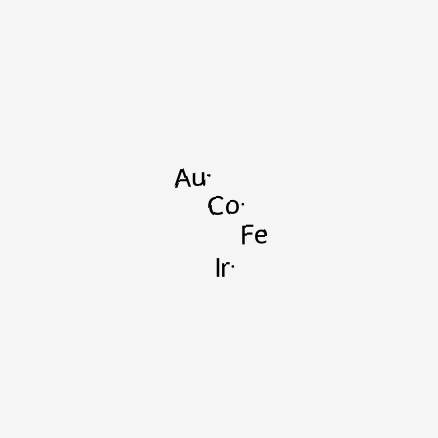 [Au].[Co].[Fe].[Ir]